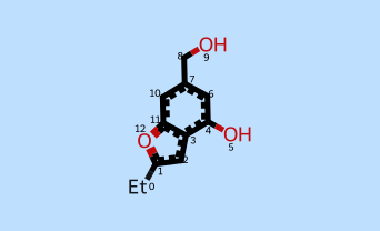 CCc1cc2c(O)cc(CO)cc2o1